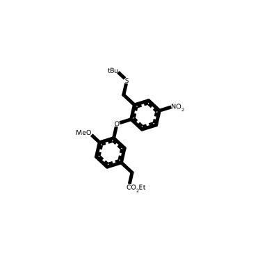 CCOC(=O)Cc1ccc(OC)c(Oc2ccc([N+](=O)[O-])cc2CSC(C)(C)C)c1